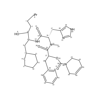 CC(C)CCC(O)C(CC1CCCCC1)NC(=O)[C@H](Cc1c[nH]cn1)N(C)C(=O)C(Cc1ccccc1)OC(=O)N1CC=CCC1